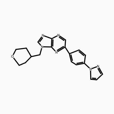 c1cnn(-c2ccc(-c3cnc4ncn(CC5CCOCC5)c4n3)cc2)c1